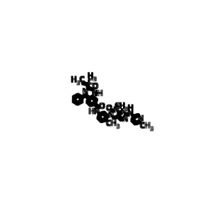 CCC(C)C1N=C(c2ccccc2)c2ccc(C(=O)Nc3ccc(C)c(N4Cc5cnc(Nc6ccc(C)nc6)nc5N(C)C4=O)c3)cc2NC1=O